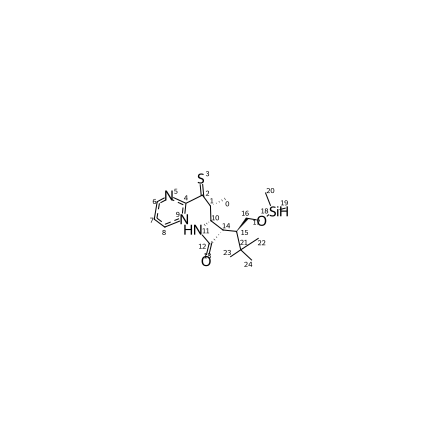 C[C@@H](C(=S)c1ncccn1)[C@H]1NC(=O)[C@H]1[C@@H](CO[SiH](C)C)C(C)(C)C